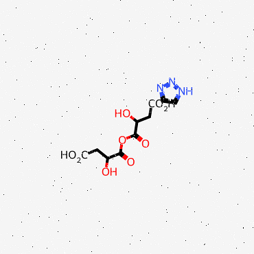 O=C(O)CC(O)C(=O)OC(=O)C(O)CC(=O)O.c1c[nH]nn1